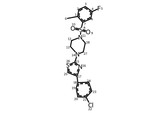 Cc1ccc(F)cc1S(=O)(=O)N1CCN(c2nc(-c3ccc(Cl)cc3)cs2)CC1